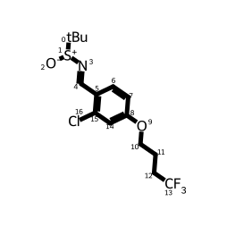 CC(C)(C)[S+]([O-])N=Cc1ccc(OCCCC(F)(F)F)cc1Cl